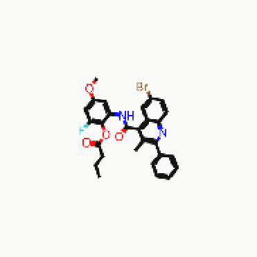 CCCC(=O)Oc1c(F)cc(OC)cc1NC(=O)c1c(C)c(-c2ccccc2)nc2ccc(Br)cc12